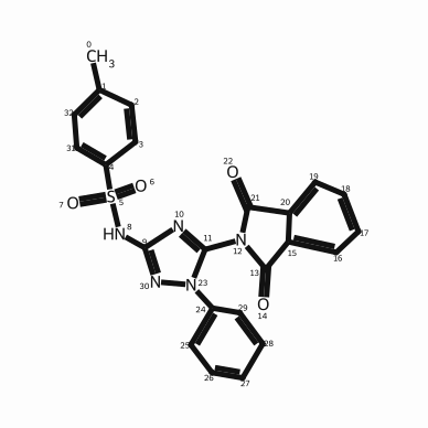 Cc1ccc(S(=O)(=O)Nc2nc(N3C(=O)c4ccccc4C3=O)n(-c3ccccc3)n2)cc1